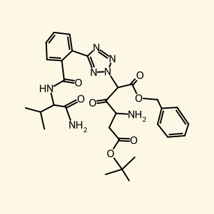 CC(C)C(NC(=O)c1ccccc1-c1nnn(C(C(=O)OCc2ccccc2)C(=O)C(N)CC(=O)OC(C)(C)C)n1)C(N)=O